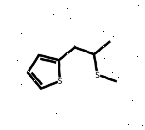 CSC(C)[CH]c1cccs1